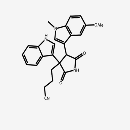 COc1ccc2c(c1)c(C1C(=O)NC(=O)C1(CCCC#N)c1c[nH]c3ccccc13)cn2C